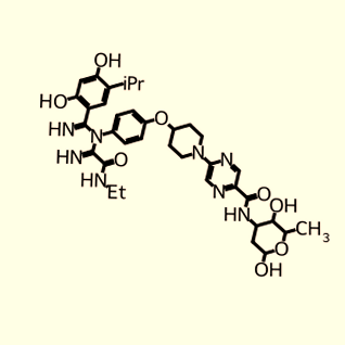 CCNC(=O)C(=N)N(C(=N)c1cc(C(C)C)c(O)cc1O)c1ccc(OC2CCN(c3cnc(C(=O)NC4CC(O)OC(C)C4O)cn3)CC2)cc1